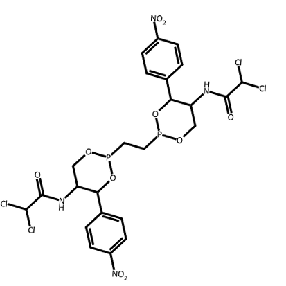 O=C(NC1COP(CCP2OCC(NC(=O)C(Cl)Cl)C(c3ccc([N+](=O)[O-])cc3)O2)OC1c1ccc([N+](=O)[O-])cc1)C(Cl)Cl